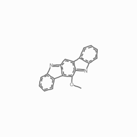 COc1c2c(cc3c1=Nc1ccccc1-3)=Nc1ccccc1-2